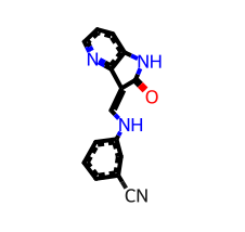 N#Cc1cccc(NC=C2C(=O)Nc3cccnc32)c1